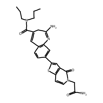 CCCN(CCC)C(=O)C1=Cc2ccc(-c3cc4c(=O)n(CC(N)=O)ccc4s3)cc2N=C(N)C1